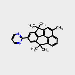 Cc1cc2c3c4c(cccc14)C(C)(C)c1cc(-c4ncccn4)cc(c1-3)C2(C)C